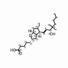 CCCCC(C)(C)[C@H](O)/C=C/[C@H]1[C@H]2C[C@H](CCCCC(=O)O)O[C@H]2C[C@H]1C